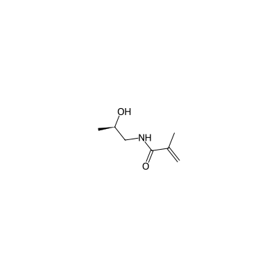 C=C(C)C(=O)NC[C@@H](C)O